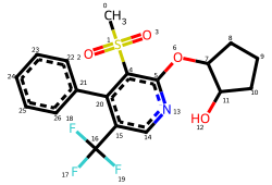 CS(=O)(=O)c1c(OC2CCCC2O)ncc(C(F)(F)F)c1-c1ccccc1